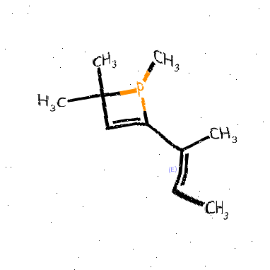 C/C=C(\C)C1=CC(C)(C)P1C